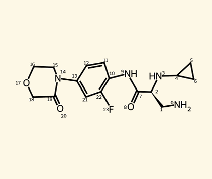 NC[C@H](NC1CC1)C(=O)Nc1ccc(N2CCOCC2=O)cc1F